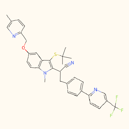 Cc1ccc(COc2ccc3c(c2)c(SC(C)(C)C)c(C(C#N)Cc2ccc(-c4ccc(C(F)(F)F)cn4)cc2)n3C)nc1